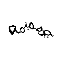 CN1C(=O)CC[C@]2(C)c3ccc(-c4cccc(NC(=O)C5CCN(Cc6ccccc6)CC5)c4)cc3CC[C@@H]12